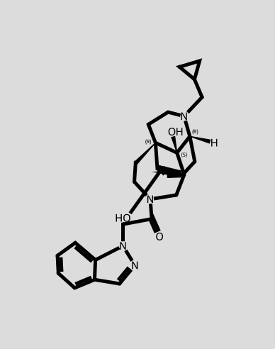 O=C(Cn1ncc2ccccc21)N1CC[C@]23CCN(CC4CC4)[C@H](Cc4ccc(O)cc42)[C@]3(O)CC1